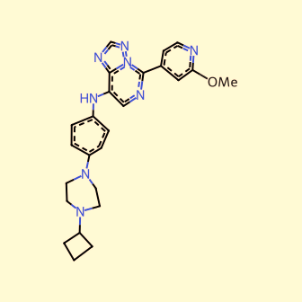 COc1cc(-c2ncc(Nc3ccc(N4CCN(C5CCC5)CC4)cc3)c3ncnn23)ccn1